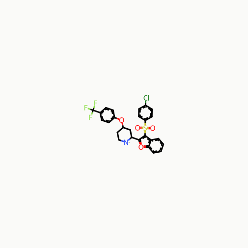 O=S(=O)(c1ccc(Cl)cc1)c1c(C2CC(Oc3ccc(C(F)(F)F)cc3)CC[N]2)oc2ccccc12